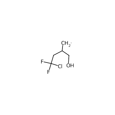 [CH2]C(CO)CC(F)(F)Cl